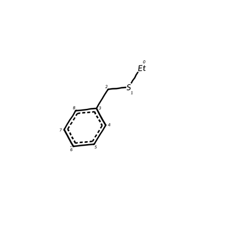 CCSCc1cc[c]cc1